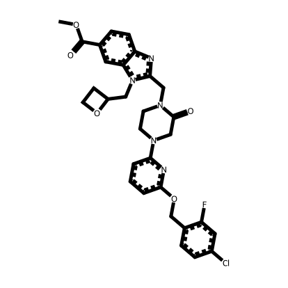 COC(=O)c1ccc2nc(CN3CCN(c4cccc(OCc5ccc(Cl)cc5F)n4)CC3=O)n(CC3CCO3)c2c1